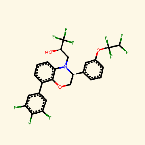 O[C@H](CN1c2cccc(-c3cc(F)c(F)c(F)c3)c2OC[C@@H]1c1cccc(OC(F)(F)C(F)F)c1)C(F)(F)F